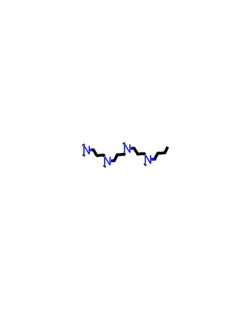 CCCCN(C)CCCN(C)CCCN(C)CCCN(C)C